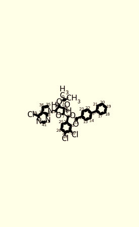 CC1(C)O[C@@H]2[C@H](O1)[C@@H](C(OC(=O)c1ccc(-c3ccccc3)cc1)c1ccc(Cl)c(Cl)c1)O[C@H]2n1ccc2c(Cl)ncnc21